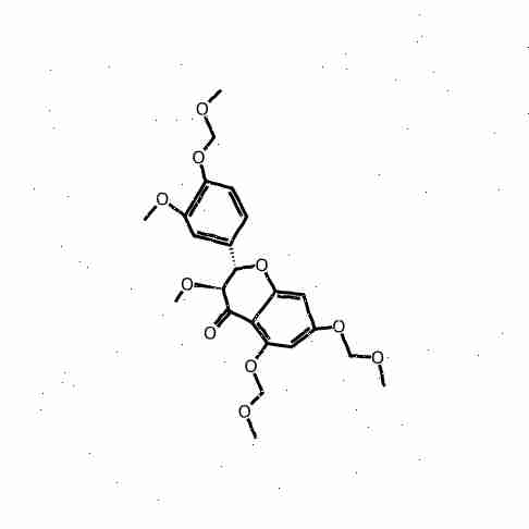 COCOc1cc(OCOC)c2c(c1)O[C@@H](c1ccc(OCOC)c(OC)c1)[C@H](OC)C2=O